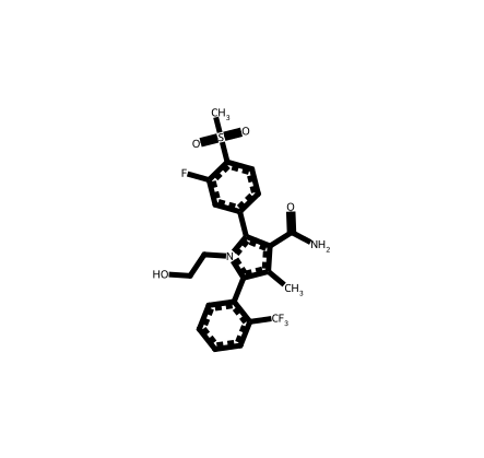 Cc1c(C(N)=O)c(-c2ccc(S(C)(=O)=O)c(F)c2)n(CCO)c1-c1ccccc1C(F)(F)F